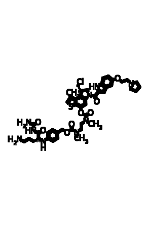 Cc1csc2c(OC(=O)N(C)CCN(C)C(=O)OCc3ccc(N[C@@H](CCCN)C(=O)NC(N)=O)cc3)cc3c(c12)[C@H](CCl)CN3C(=O)c1cc2cc(OCCN3CCCC3)ccc2[nH]1